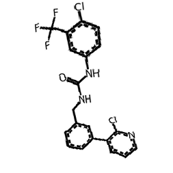 O=C(NCc1cccc(-c2cccnc2Cl)c1)Nc1ccc(Cl)c(C(F)(F)F)c1